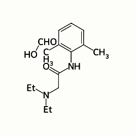 CCN(CC)CC(=O)Nc1c(C)cccc1C.O=CO